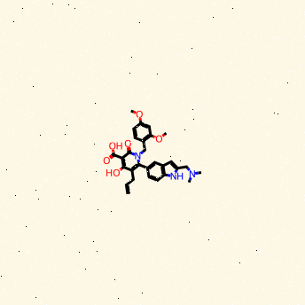 C=CCc1c(O)c(C(=O)O)c(=O)n(Cc2ccc(OC)cc2OC)c1-c1ccc2[nH]c(CN(C)C)cc2c1